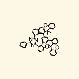 CC1(C)c2ccccc2Oc2cccc(-c3cc(-c4cccc5c4C(C)(C)c4ccccc4O5)c4oc5cccc(-c6nc(-c7ccccc7)nc(-c7ccccc7)n6)c5c4c3)c21